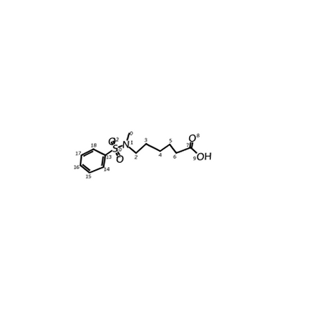 CN(CCCCCC(=O)O)S(=O)(=O)c1ccccc1